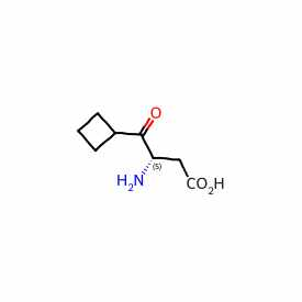 N[C@@H](CC(=O)O)C(=O)C1CCC1